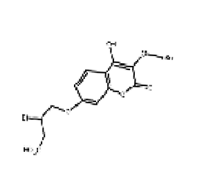 CCCCOc1c(O)c2ccc(OCC(CC)CC(=O)O)cc2oc1=O